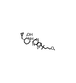 COCCCC(C)(C)c1cc2ncc([C@@H]3CCC[C@@H](CC4CC4)[C@H](CO)N3)nc2n1C